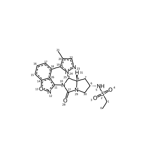 CCS(=O)(=O)N[C@H]1C[C@H]2CN(c3noc4cccc(-c5c(C)cnn5C)c34)C(=O)N2C1